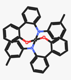 Cc1cccc(N2c3ccccc3-c3ccccc3O[Si]23Oc2ccccc2-c2ccccc2N3c2cccc(C)c2)c1